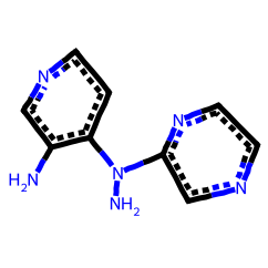 Nc1cnccc1N(N)c1cnccn1